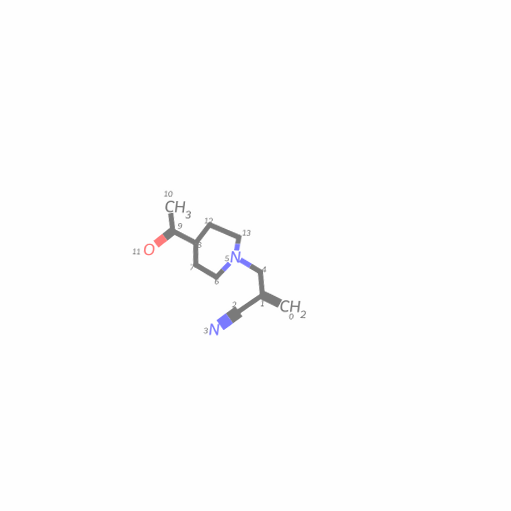 C=C(C#N)CN1CCC(C(C)=O)CC1